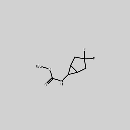 CC(C)(C)OC(=O)NC1C2CC(F)(F)CC21